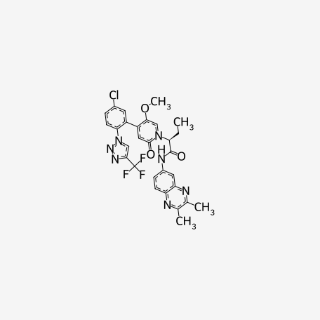 CC[C@@H](C(=O)Nc1ccc2nc(C)c(C)nc2c1)n1cc(OC)c(-c2cc(Cl)ccc2-n2cc(C(F)(F)F)nn2)cc1=O